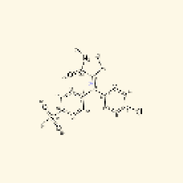 CN1CC/C(=C(\c2ccc(Cl)cc2)c2ccc(S(C)(=O)=O)cc2)C1=O